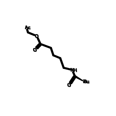 CC[C@H](C)C(=O)NCCCCC(=O)OCC(C)=O